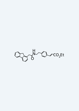 CCOC(=O)/C=C/c1ccc(CCNC(=O)Cc2cccc3c2Cc2ccccc2-3)cc1